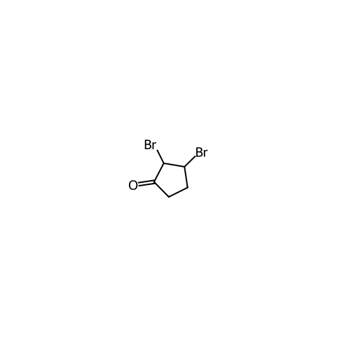 O=C1CCC(Br)C1Br